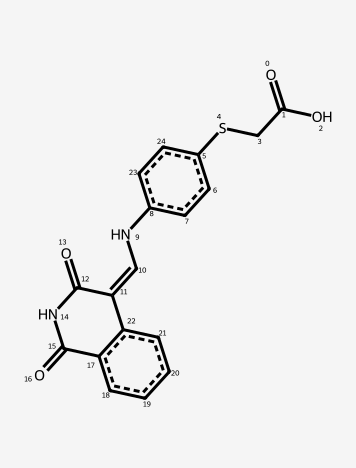 O=C(O)CSc1ccc(NC=C2C(=O)NC(=O)c3ccccc32)cc1